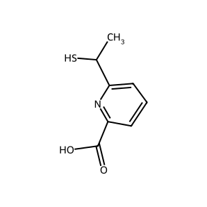 CC(S)c1cccc(C(=O)O)n1